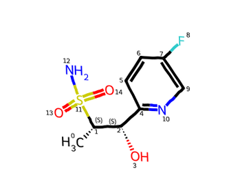 C[C@@H]([C@@H](O)c1ccc(F)cn1)S(N)(=O)=O